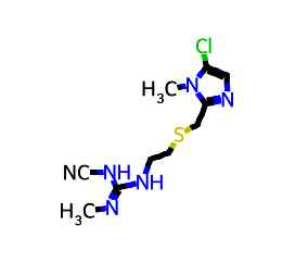 C/N=C(\NC#N)NCCSCc1ncc(Cl)n1C